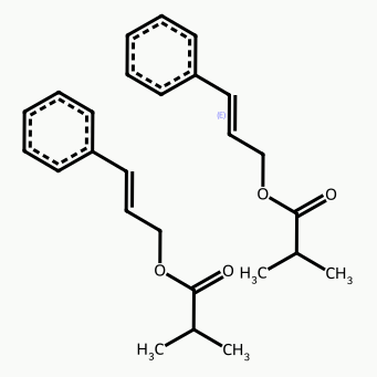 CC(C)C(=O)OC/C=C/c1ccccc1.CC(C)C(=O)OCC=Cc1ccccc1